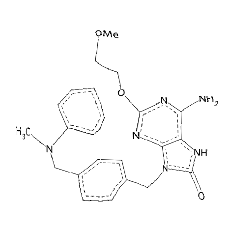 COCCOc1nc(N)c2[nH]c(=O)n(Cc3ccc(CN(C)c4ccccc4)cc3)c2n1